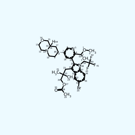 CO[C@@H](C)c1ncc([C@@H]2CCN3CCOC[C@@H]3C2)cc1-c1c(CC(C)(C)COC(C)=O)c2cc(Br)ccc2n1CC(F)(F)F